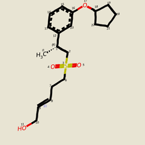 C[C@@H](CS(=O)(=O)CC/C=C/CO)c1cccc(OC2CCCC2)c1